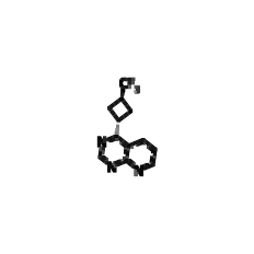 FC(F)(F)[C@H]1C[C@H](c2ncnc3ncccc32)C1